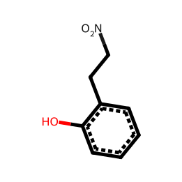 O=[N+]([O-])CCc1ccccc1O